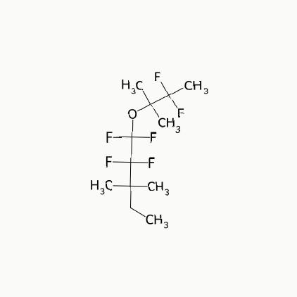 CCC(C)(C)C(F)(F)C(F)(F)OC(C)(C)C(C)(F)F